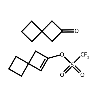 O=C1CC2(CCC2)C1.O=S(=O)(OC1=CC2(CCC2)C1)C(F)(F)F